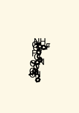 CCOP(=O)(CN(CCCOc1cc2nccc(Oc3ccc(N(C(=O)C4(C(N)=O)CC4)c4ccc(F)cc4)cc3F)c2cc1OC)Cc1ccccc1)OCC